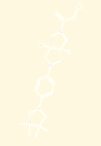 CC(C)(C)OC(=O)N1C[C@@H]2CN(c3ccc(B4OC(C)(C)C(C)(C)O4)cc3)C[C@@H]2C1